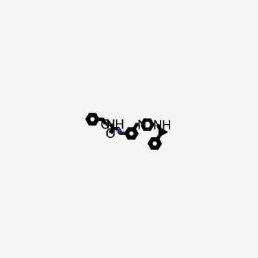 O=C(/C=C/c1cccc(CN2CCC(NC3CC3c3ccccc3)CC2)c1)NOCc1ccccc1